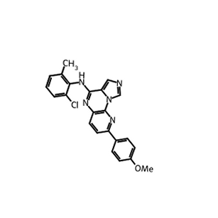 COc1ccc(-c2ccc3nc(Nc4c(C)cccc4Cl)c4cncn4c3n2)cc1